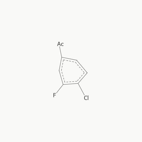 [CH2]C(=O)c1ccc(Cl)c(F)c1